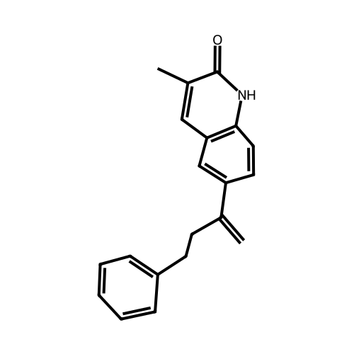 C=C(CCc1ccccc1)c1ccc2[nH]c(=O)c(C)cc2c1